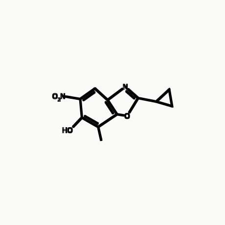 Cc1c(O)c([N+](=O)[O-])cc2nc(C3CC3)oc12